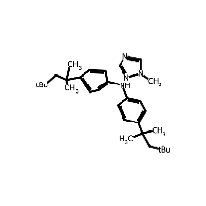 CC(C)(C)CC(C)(C)c1ccc(Nc2ccc(C(C)(C)CC(C)(C)C)cc2)cc1.Cn1cncn1